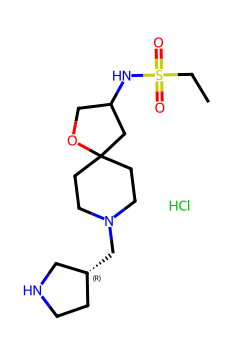 CCS(=O)(=O)NC1COC2(CCN(C[C@@H]3CCNC3)CC2)C1.Cl